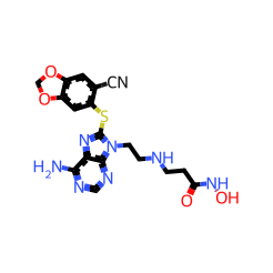 N#Cc1cc2c(cc1Sc1nc3c(N)ncnc3n1CCNCCC(=O)NO)OCO2